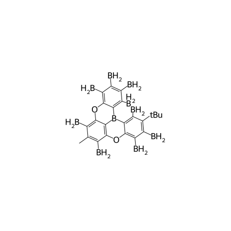 Bc1c(B)c(B)c2c(c1B)Oc1c(B)c(C)c(B)c3c1B2c1c(B)c(C(C)(C)C)c(B)c(B)c1O3